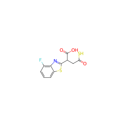 O=C(S)CC(C(=O)O)c1nc2c(F)cccc2s1